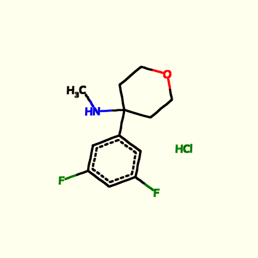 CNC1(c2cc(F)cc(F)c2)CCOCC1.Cl